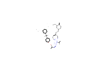 C=C(/C=C\N=C(/C(=C)C)N1CCC=C(CCC2CCC(=C)C(CCC(=O)O)C2)CC1)COc1ccc(C(C)(C)c2cc(Cl)cc(C#N)c2)cc1